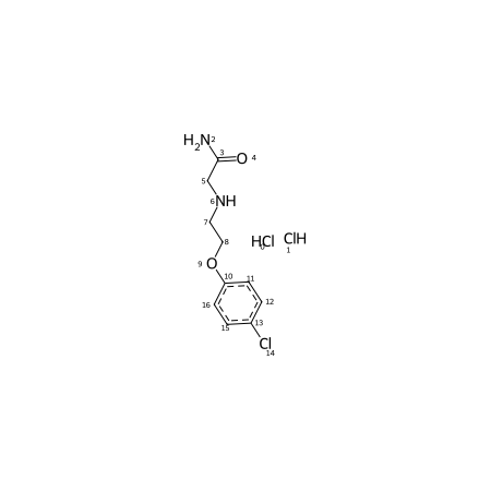 Cl.Cl.NC(=O)CNCCOc1ccc(Cl)cc1